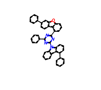 c1ccc(-c2ccc3c(c2)oc2cccc(-c4nc(-c5ccccc5)nc(-n5c6ccccc6c6c(-c7ccccc7)cccc65)n4)c23)cc1